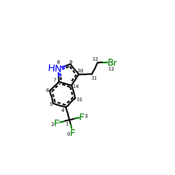 FC(F)(F)c1ccc2[nH]cc(CCBr)c2c1